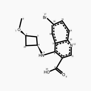 CO[C@H]1C[C@@H](Nc2c(C(=O)O)cnc3ccc(Br)cc23)C1